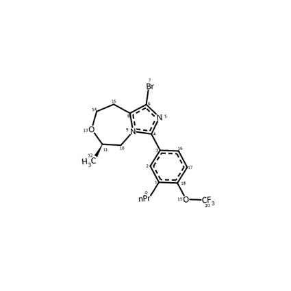 CCCc1cc(-c2nc(Br)c3n2C[C@@H](C)OCC3)ccc1OC(F)(F)F